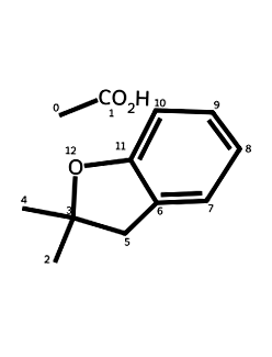 CC(=O)O.CC1(C)Cc2ccccc2O1